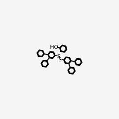 Oc1ccccc1.c1ccc(-c2ccc(SSc3ccc(-c4ccccc4)c(-c4ccccc4)c3)cc2-c2ccccc2)cc1